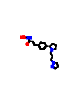 O=C(C=Cc1ccc([C@@H]2CCCN2CCCn2cccn2)cc1)NO